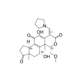 COC[C@H]1OC(=O)/C(=C/N2CCCC2)C2=C(O)C(=O)C3=C([C@H](O)CC4(C)C(=O)CC[C@@H]34)C21C